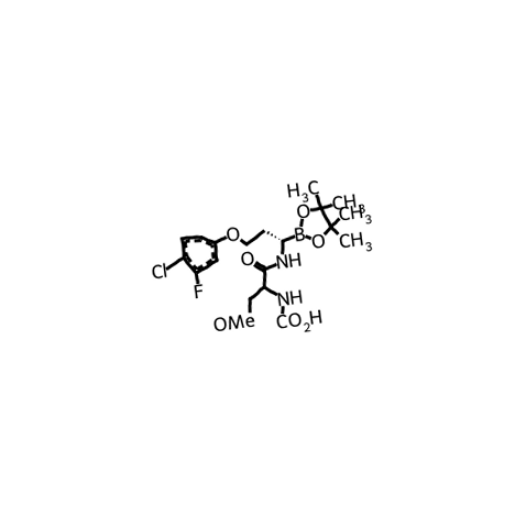 COCC(NC(=O)O)C(=O)N[C@H](CCOc1ccc(Cl)c(F)c1)B1OC(C)(C)C(C)(C)O1